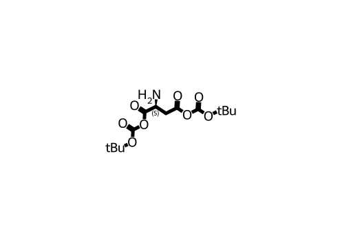 CC(C)(C)OC(=O)OC(=O)C[C@H](N)C(=O)OC(=O)OC(C)(C)C